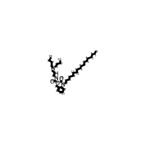 CCCCCCCCCCCCCCCCCCN(C=O)c1ccccc1COC(=O)NCCCN(CCCC)CCCC